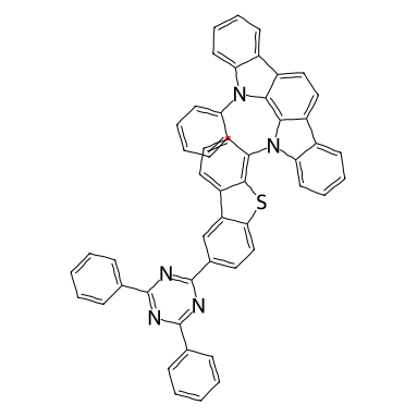 c1ccc(-c2nc(-c3ccccc3)nc(-c3ccc4sc5c(-n6c7ccccc7c7ccc8c9ccccc9n(-c9ccccc9)c8c76)cccc5c4c3)n2)cc1